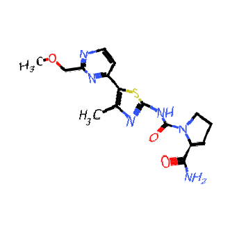 COCc1nccc(-c2sc(NC(=O)N3CCC[C@H]3C(N)=O)nc2C)n1